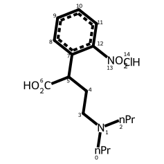 CCCN(CCC)CCC(C(=O)O)c1ccccc1[N+](=O)[O-].Cl